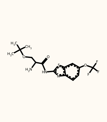 CC(C)(C)OCC(N)C(=O)Nc1nc2ccc(OC(F)(F)F)cc2s1